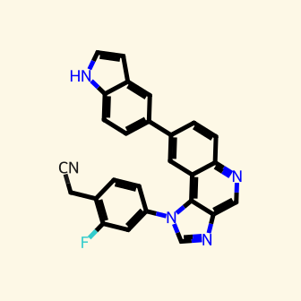 N#CCc1ccc(-n2cnc3cnc4ccc(-c5ccc6[nH]ccc6c5)cc4c32)cc1F